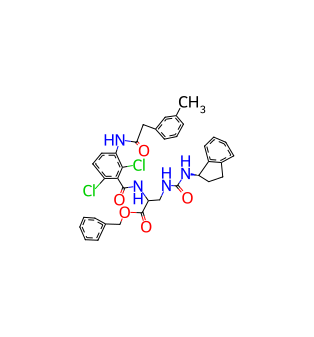 Cc1cccc(CC(=O)Nc2ccc(Cl)c(C(=O)NC(CNC(=O)N[C@@H]3CCc4ccccc43)C(=O)OCc3ccccc3)c2Cl)c1